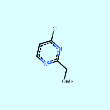 COCc1nc[c]c(Cl)n1